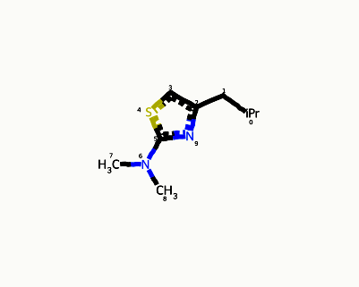 CC(C)Cc1csc(N(C)C)n1